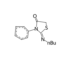 CCCCN=C1SCC(=O)N1c1ccccc1